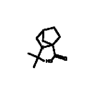 CC(C)(C)N1CC2CCC1(C(=O)O)C2